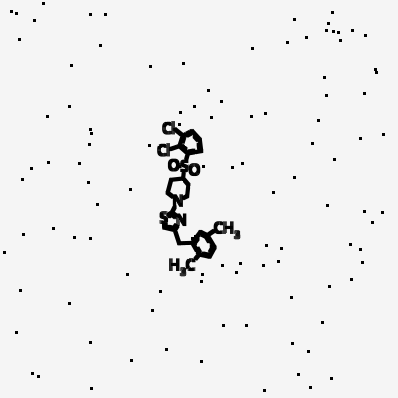 Cc1ccc(C)c(Cc2csc(N3CCC(S(=O)(=O)c4cccc(Cl)c4Cl)CC3)n2)c1